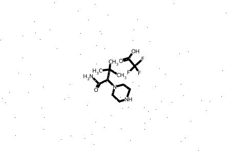 CC(C)(C)C(C(N)=O)N1CCNCC1.O=C(O)C(F)(F)F